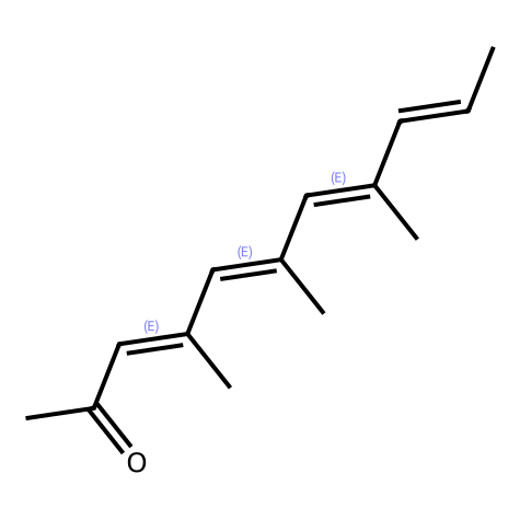 CC=C/C(C)=C/C(C)=C/C(C)=C/C(C)=O